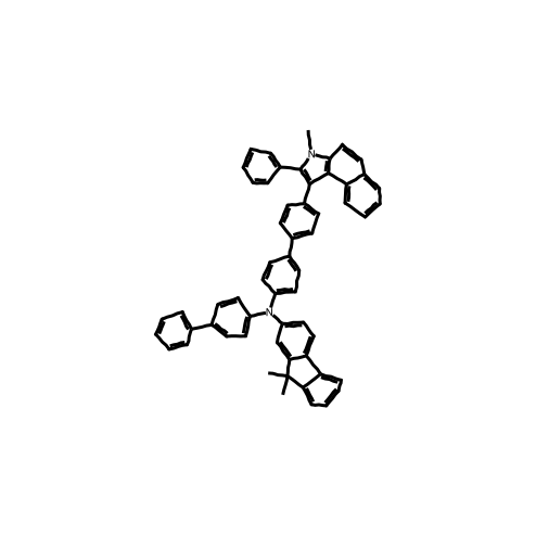 Cn1c(-c2ccccc2)c(-c2ccc(-c3ccc(N(c4ccc(-c5ccccc5)cc4)c4ccc5c(c4)C(C)(C)c4ccccc4-5)cc3)cc2)c2c3ccccc3ccc21